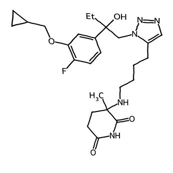 CCC(O)(Cn1nncc1CCCCNC1(C)CCC(=O)NC1=O)c1ccc(F)c(OCC2CC2)c1